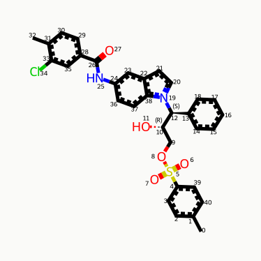 Cc1ccc(S(=O)(=O)OC[C@H](O)[C@H](c2ccccc2)n2ccc3cc(NC(=O)c4ccc(C)c(Cl)c4)ccc32)cc1